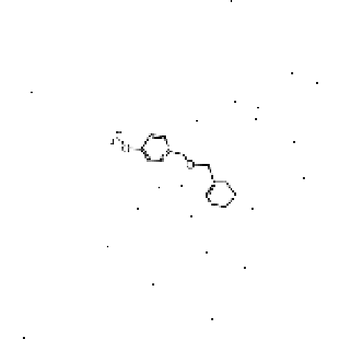 COc1ccc(COCC2=CCCCC2)cc1